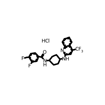 Cl.O=C(NC1CCC(Nc2cc(C(F)(F)F)c3ccccc3n2)CC1)c1ccc(F)c(F)c1